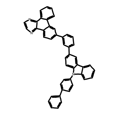 c1ccc(-c2ccc(-n3c4ccccc4c4cc(-c5cccc(-c6ccc7c(c6)c6ccccc6c6nccnc76)c5)ccc43)cc2)cc1